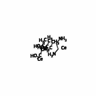 CC(=O)O.CC(=O)O.CC(=O)O.CC(=O)O.NCCN.[Ce].[Ce]